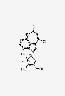 C[C@@]1(O)[C@H](O)[C@@H](CO)O[C@H]1n1cc2c3c(ncnc31)NC(=O)C=C2Cl